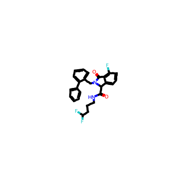 O=C(NCCCC(F)F)C1c2cccc(F)c2C(=O)N1Cc1ccccc1-c1ccccc1